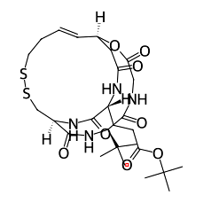 CC(C)(C)OC(=O)CC[C@H]1NC(=O)C[C@H]2/C=C/CCSSC[C@@H](NC1=O)C(=O)N[C@H](C(C)(C)C)C(=O)NCC(=O)O2